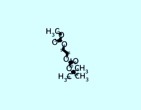 COC(=O)OC[CH]OC(=O)OC(C)(C)C